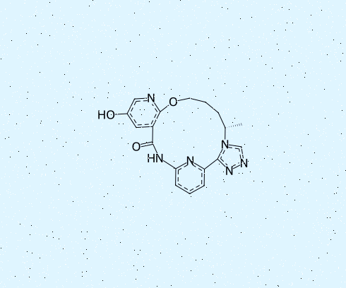 C[C@H]1CCCOc2ncc(O)cc2C(=O)Nc2cccc(n2)-c2nncn21